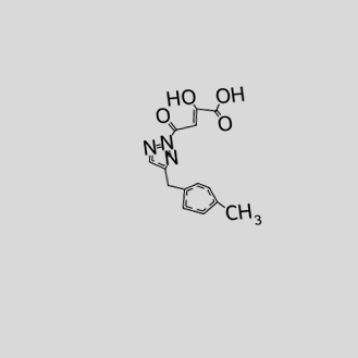 Cc1ccc(Cc2cnn(C(=O)/C=C(\O)C(=O)O)n2)cc1